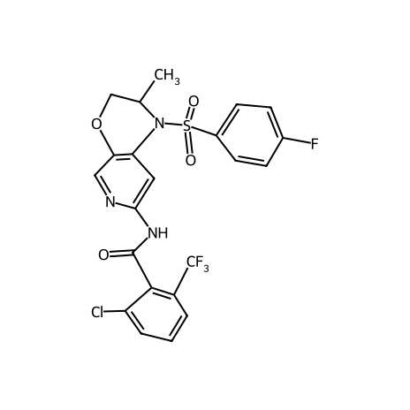 CC1COc2cnc(NC(=O)c3c(Cl)cccc3C(F)(F)F)cc2N1S(=O)(=O)c1ccc(F)cc1